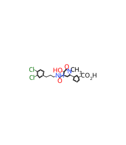 Cn1c(-c2cccc(C(=O)O)c2)cc(C(=O)NCCCc2ccc(Cl)c(Cl)c2)c(O)c1=O